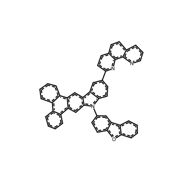 c1cnc2c(c1)ccc1ccc(-c3ccc4c(c3)c3cc5c6ccccc6c6ccccc6c5cc3n4-c3ccc4oc5ccccc5c4c3)nc12